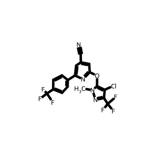 Cn1nc(C(F)(F)F)c(Cl)c1Oc1cc(C#N)cc(-c2ccc(C(F)(F)F)cc2)n1